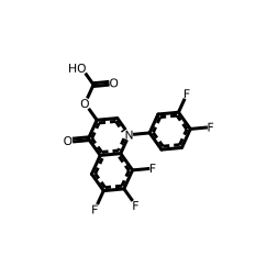 O=C(O)Oc1cn(-c2ccc(F)c(F)c2)c2c(F)c(F)c(F)cc2c1=O